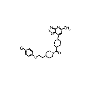 Cc1cc(N2CCC(C(=O)N3CCN(CCOc4ccc(Cl)cc4)CC3)CC2)c2nsnc2n1